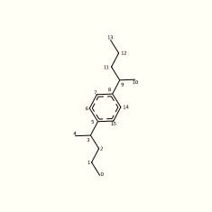 CCCC(C)c1ccc(C(C)CCC)cc1